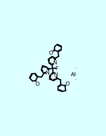 O=C1CC=CC=C1Cc1cccc(C(F)(c2cccc(CC3=CC=CCC3=O)n2)c2cccc(CC3=CC=CCC3=O)n2)n1.[Al]